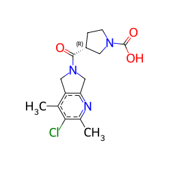 Cc1nc2c(c(C)c1Cl)CN(C(=O)[C@@H]1CCN(C(=O)O)C1)C2